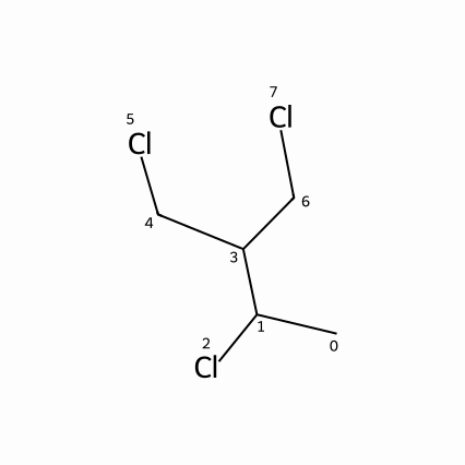 CC(Cl)C(CCl)CCl